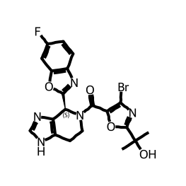 CC(C)(O)c1nc(Br)c(C(=O)N2CCc3[nH]cnc3[C@H]2c2nc3ccc(F)cc3o2)o1